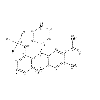 Cc1cc(C)c(N(c2ccccc2OC(F)(F)F)C2CCNCC2)cc1C(=O)O